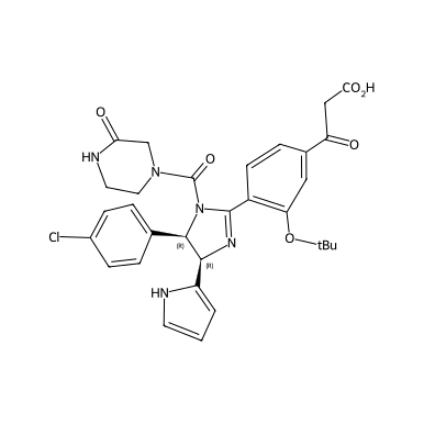 CC(C)(C)Oc1cc(C(=O)CC(=O)O)ccc1C1=N[C@@H](c2ccc[nH]2)[C@@H](c2ccc(Cl)cc2)N1C(=O)N1CCNC(=O)C1